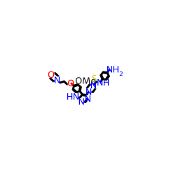 COc1cc2c(cc1OCCCN1CCOCC1)[nH]c1ncnc(N3CCN(C(=S)Nc4ccc(N)cc4)CC3)c12